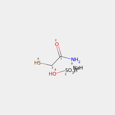 NC(=O)CS.O=S(=O)(O)O.[NaH]